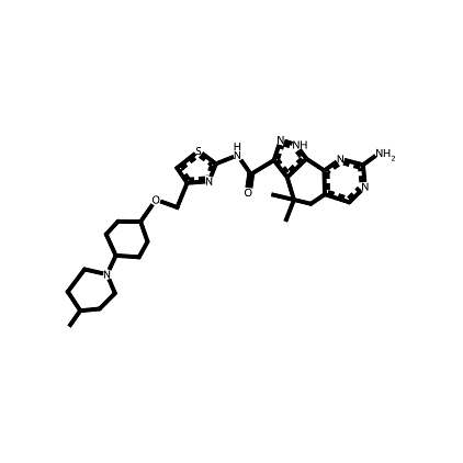 CC1CCN(C2CCC(OCc3csc(NC(=O)c4n[nH]c5c4C(C)(C)Cc4cnc(N)nc4-5)n3)CC2)CC1